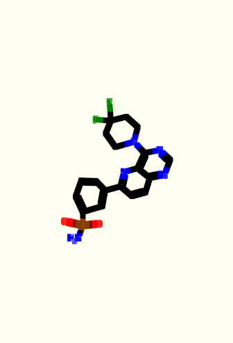 NS(=O)(=O)c1cccc(-c2ccc3ncnc(N4CCC(F)(F)CC4)c3n2)c1